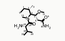 CC[C@H](C)C([C@@H](CC(N)=O)OC)N(C)C(=O)[C@@H](N)C(C)C